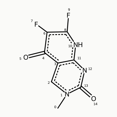 Cn1cc2c(=O)c(F)c(F)[nH]c2nc1=O